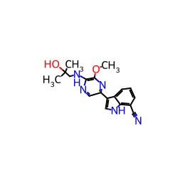 COc1nc(-c2c[nH]c3c(C#N)cccc23)cnc1NCC(C)(C)O